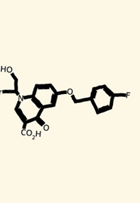 CC(C)C(CO)n1cc(C(=O)O)c(=O)c2cc(OCc3ccc(F)cc3)ccc21